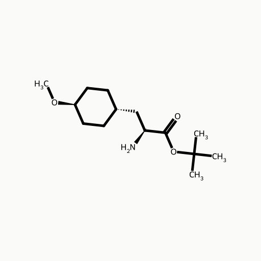 CO[C@H]1CC[C@H](C[C@H](N)C(=O)OC(C)(C)C)CC1